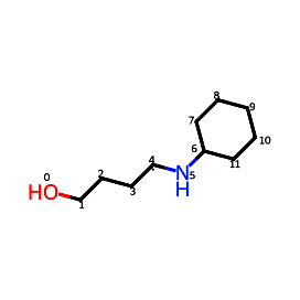 OCCC[CH]NC1CCCCC1